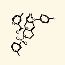 Cc1cccc(S(=O)(=O)N2CCC3=Cc4c(cnn4-c4ccc(F)cc4)C[C@]3(C(=O)c3cc(C)ccn3)C2)c1